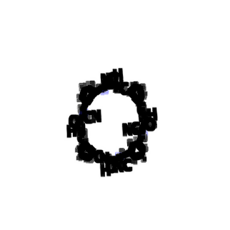 [C-]#[N+]/C1=C\c2cccc(c2)/C=C(\C#N)C(=O)NCc2cccc(c2)CNC(=O)/C([N+]#[C-])=C\c2cccc(c2)/C=C(\C#N)C(=O)NCc2cccc(c2)CNC1=O